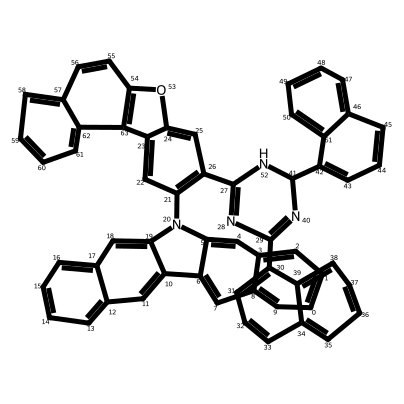 c1ccc2cc3c(cc2c1)c1cc2ccccc2cc1n3-c1cc2c(cc1C1=NC(c3cccc4ccccc34)=NC(c3cccc4ccccc34)N1)oc1ccc3ccccc3c12